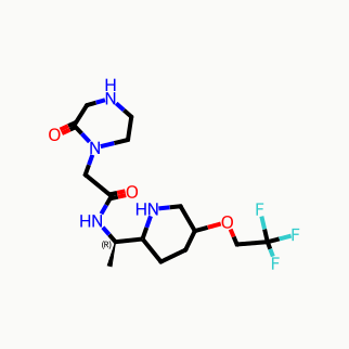 C[C@@H](NC(=O)CN1CCNCC1=O)C1CCC(OCC(F)(F)F)CN1